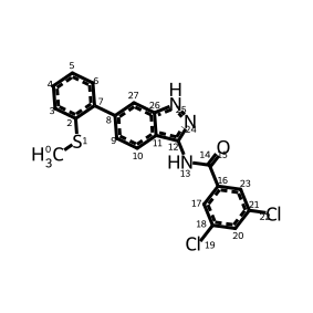 CSc1ccccc1-c1ccc2c(NC(=O)c3cc(Cl)cc(Cl)c3)n[nH]c2c1